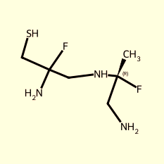 C[C@@](F)(CN)NCC(N)(F)CS